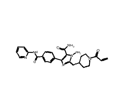 C=CC(=O)N1CCC(Cc2nc(-c3ccc(C(=O)Nc4ccccn4)cc3)c(C(N)=O)n2N)CC1